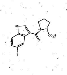 O=C(c1c[nH]c2ccc(F)cc12)[C@H]1CCCN1C(=O)O